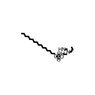 C/C=C\N(C=N)CCOP(=O)(O)OCCCCCCCCCCCCCCCC